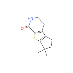 CC1(C)CCc2c1sc1c2CCNC1=O